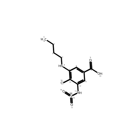 CCCCNc1cc(C(=O)O)cc(N[SH](=O)=O)c1Cl